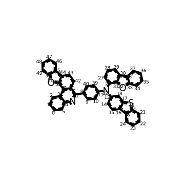 c1ccc2c(c1)nc(-c1ccc(N(c3ccc4c(c3)sc3ccccc34)c3cccc4c3oc3ccccc34)cc1)c1ccc3c4ccccc4oc3c12